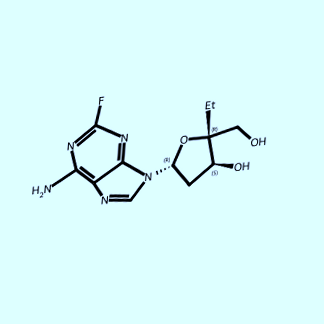 CC[C@]1(CO)O[C@@H](n2cnc3c(N)nc(F)nc32)C[C@@H]1O